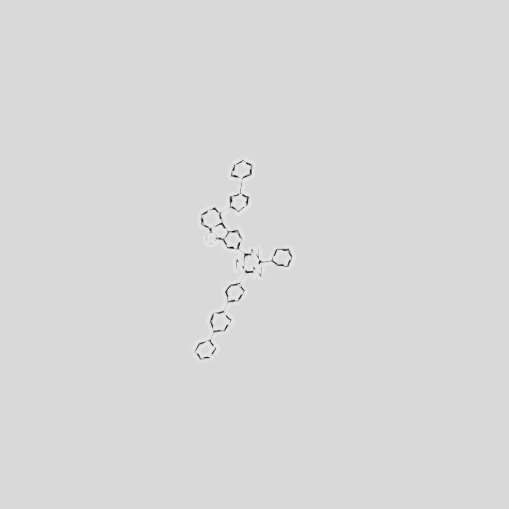 c1ccc(-c2ccc(-c3ccc(-c4nc(-c5ccccc5)nc(-c5ccc6c(c5)oc5cccc(-c7cccc(-c8ccccc8)c7)c56)n4)cc3)cc2)cc1